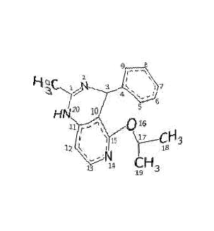 CC1=NC(c2ccccc2)c2c(ccnc2OC(C)C)N1